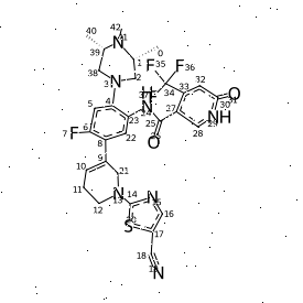 C[C@@H]1CN(c2cc(F)c(C3=CCCN(c4ncc(C#N)s4)C3)cc2NC(=O)c2c[nH]c(=O)cc2C(F)(F)F)C[C@H](C)N1C